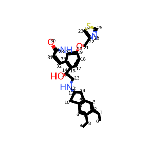 CCc1cc2c(cc1CC)CC(NCC(O)c1ccc(OCc3cscn3)c3[nH]c(=O)ccc13)C2